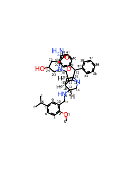 COc1ccc(C(C)C)cc1CN[C@@H]1CN2CC[C@H]1[C@@H](C(=O)N1CC(O)CC1C(N)=O)C2C(c1ccccc1)c1ccccc1